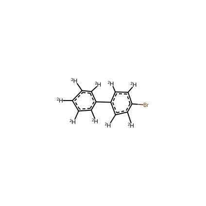 [2H]c1c([2H])c([2H])c(-c2c([2H])c([2H])c(Br)c([2H])c2[2H])c([2H])c1[2H]